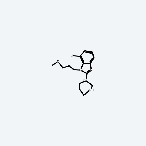 COCCCn1c([C@@H]2CCCNC2)nc2cccc(Cl)c21